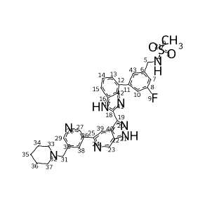 CS(=O)(=O)NCc1cc(F)cc(-c2cccc3[nH]c(-c4n[nH]c5cnc(-c6cncc(CN7CCCCC7)c6)cc45)nc23)c1